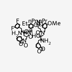 CCCN(CCC)S(=O)(=O)CCC(=O)N(Cc1cccc(OC)c1)C[C@@H](O)[C@@H](N)Cc1ccc2c(c1)OCO2.CCc1cccc(CNC(=O)C(C[C@@H](O)[C@@H](N)Cc2cc(F)cc(F)c2)Cn2c(=O)oc3ccccc32)c1